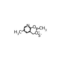 Cc1cnc2c(c1)C[O+]([S-])P(C)O2